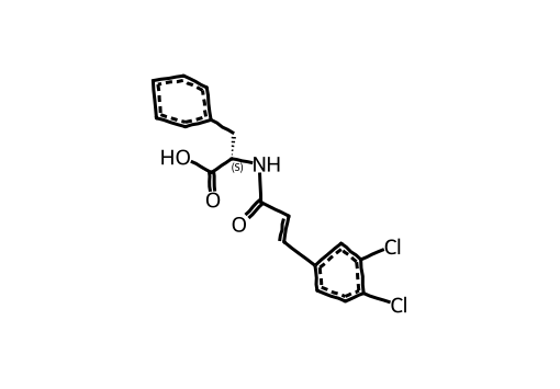 O=C(C=Cc1ccc(Cl)c(Cl)c1)N[C@@H](Cc1ccccc1)C(=O)O